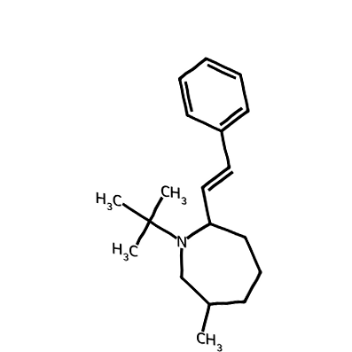 CC1CCCC(/C=C/c2ccccc2)N(C(C)(C)C)C1